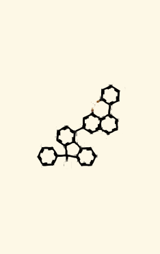 CC1(c2ccccc2)c2ccccc2-c2c(-c3cc4c5c(cccc5c3)-c3ccccc3S4)cccc21